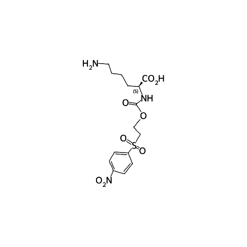 NCCCC[C@H](NC(=O)OCCS(=O)(=O)c1ccc([N+](=O)[O-])cc1)C(=O)O